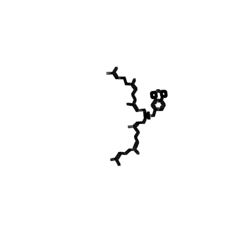 CC(C)=CCCC(C)=CCCC(C)=CCN(CC=C(C)CCC=C(C)CCC=C(C)C)Cc1ccc2c(c1)OCO2